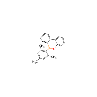 Cc1cc(C)c(P2Oc3ccccc3-c3ccccc32)c(C)c1